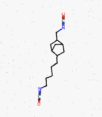 O=C=NCCCCCC1CC2CC1CC2CN=C=O